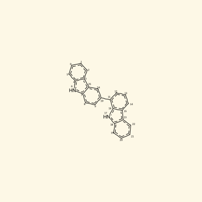 c1ccc2c(c1)[nH]c1ccc(-c3cccc4c3[nH]c3ccccc34)cc12